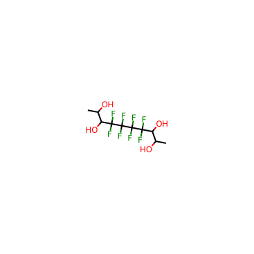 CC(O)C(O)C(F)(F)C(F)(F)C(F)(F)C(F)(F)C(O)C(C)O